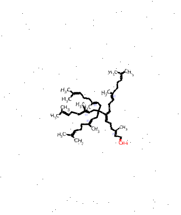 CC(C)=CCC/C(C)=C/CCC(=CCC/C(C)=C/CO)C(C/C=C(\C)CCC=C(C)C)(C/C=C(\C)CCC=C(C)C)C/C=C(\C)CCC=C(C)C